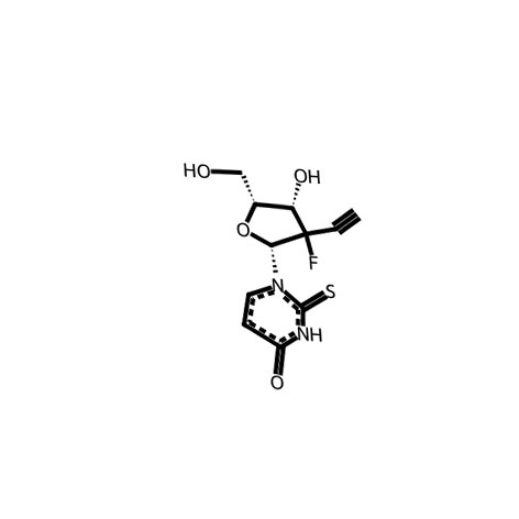 C#CC1(F)[C@@H](O)[C@@H](CO)O[C@H]1n1ccc(=O)[nH]c1=S